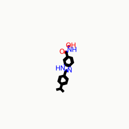 CC(C)c1ccc(-c2nc3ccc(C(=O)NO)cc3[nH]2)cc1